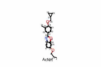 CC(=O)N[C@@H](C)COc1ccc2nc(-c3ccc(OCC4CC4)c(C)c3)oc2c1